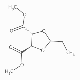 CCC1O[C@@H](C(=O)OC)[C@H](C(=O)OC)O1